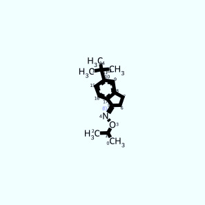 CC(C)O/N=C1\CCc2cc(C(C)(C)C)ccc21